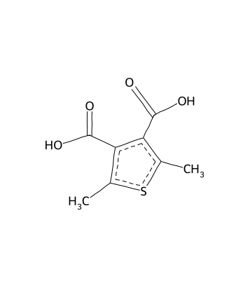 Cc1sc(C)c(C(=O)O)c1C(=O)O